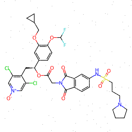 O=C(CN1C(=O)c2ccc(NS(=O)(=O)CCCN3CCCC3)cc2C1=O)O[C@@H](Cc1c(Cl)c[n+]([O-])cc1Cl)c1ccc(OC(F)F)c(OCC2CC2)c1